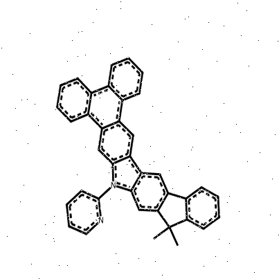 CC1(C)c2ccccc2-c2cc3c4cc5c6ccccc6c6ccccc6c5cc4n(-c4ccccn4)c3cc21